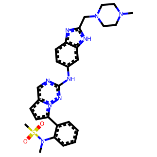 CN1CCN(Cc2nc3ccc(Nc4ncc5ccc(-c6ccccc6N(C)S(C)(=O)=O)n5n4)cc3[nH]2)CC1